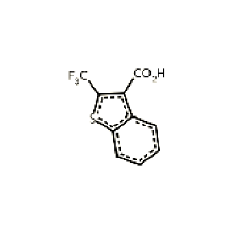 O=C(O)c1c(C(F)(F)F)sc2ccccc12